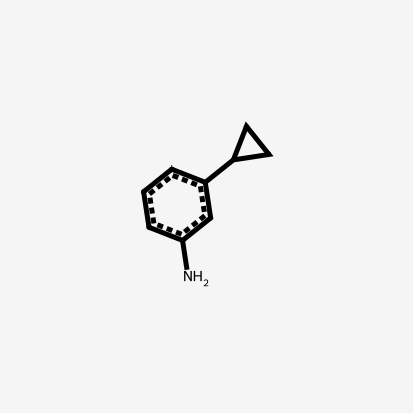 Nc1cc[c]c(C2CC2)c1